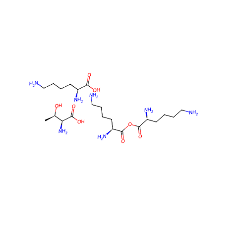 C[C@@H](O)[C@H](N)C(=O)O.NCCCC[C@H](N)C(=O)O.NCCCC[C@H](N)C(=O)OC(=O)[C@@H](N)CCCCN